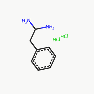 Cl.Cl.NC(N)Cc1ccccc1